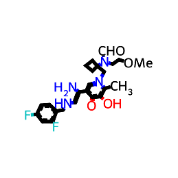 COCCN(C=O)C1(Cn2cc(/C(N)=C/NCc3ccc(F)cc3F)c(=O)c(O)c2C)CCC1